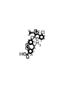 Cc1cccc(Cl)c1-c1noc(C2CC2)c1COc1ccc2c(c1)CCc1ccc(C(=O)O)cc1S2(=O)=O